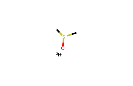 C[S+](C)[O-].[2H]